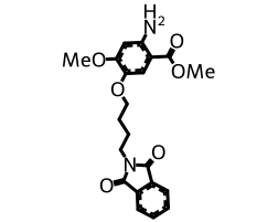 COC(=O)c1cc(OCCCCN2C(=O)c3ccccc3C2=O)c(OC)cc1N